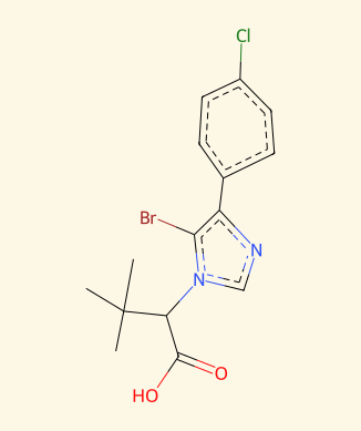 CC(C)(C)C(C(=O)O)n1cnc(-c2ccc(Cl)cc2)c1Br